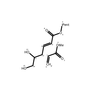 C=CC(=O)OC.CCCC(C)OC(=O)C=CCC(O)CO